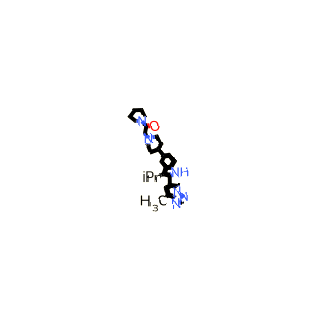 Cc1cc(-c2[nH]c3ccc(C4CCN(CC(=O)N5CCCCC5)CC4)cc3c2C(C)C)cn2ncnc12